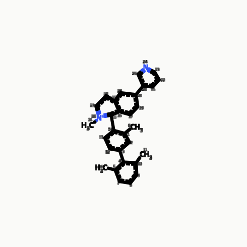 Cc1cc(-c2c(C)cccc2C)ccc1-c1c2ccc(-c3cccnc3)cc2cc[n+]1C